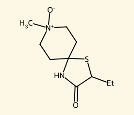 CCC1SC2(CC[N+](C)([O-])CC2)NC1=O